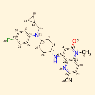 Cn1c(=O)cc(N[C@H]2CC[C@@H](N(CC3CC3)c3ccc(F)cc3)CC2)c2nc(C#N)ccc21